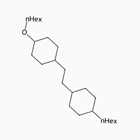 CCCCCCOC1CCC(CCC2CCC(CCCCCC)CC2)CC1